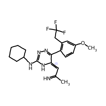 COc1ccc(C2=NN=C(NC3CCCCC3)N/C2=C\C(C)=N)c(CC(F)(F)F)c1